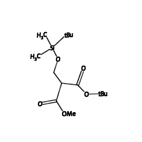 COC(=O)C(CO[Si](C)(C)C(C)(C)C)C(=O)OC(C)(C)C